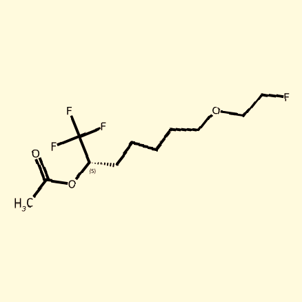 CC(=O)O[C@@H](CCCCCOCCF)C(F)(F)F